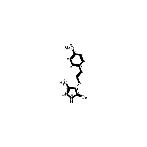 COc1ccc(/C=C/C[C@@H]2C(=O)NN=C2C)cc1